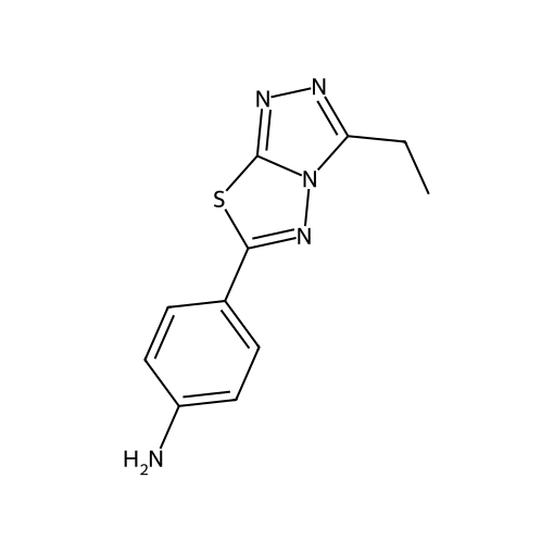 CCc1nnc2sc(-c3ccc(N)cc3)nn12